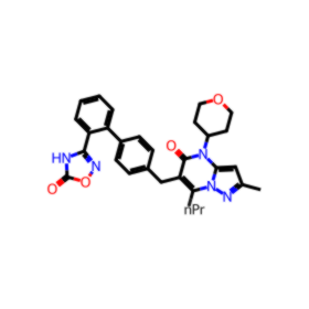 CCCc1c(Cc2ccc(-c3ccccc3-c3noc(=O)[nH]3)cc2)c(=O)n(C2CCOCC2)c2cc(C)nn12